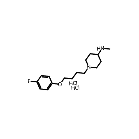 CNC1CCN(CCCCOc2ccc(F)cc2)CC1.Cl.Cl